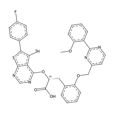 [2H]c1c(-c2ccc(F)cc2)sc2ncnc(O[C@H](Cc3ccccc3OCc3ccnc(-c4ccccc4OC)n3)C(=O)O)c12